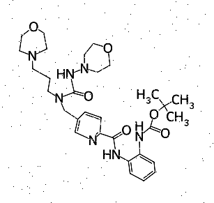 CC(C)(C)OC(=O)Nc1ccccc1NC(=O)c1ccc(CN(CCCN2CCOCC2)C(=O)NN2CCOCC2)cn1